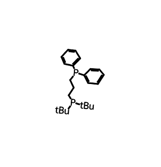 CC(C)(C)P(CCCP(c1ccccc1)c1ccccc1)C(C)(C)C